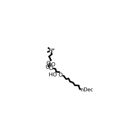 CCCCCCCCCCCCCCCCCCOCC(O)COP(=O)([O-])OCCC[N+](C)(C)C